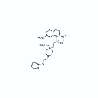 COc1ccc2ncc(N(C)C)c([C@@H](O)CCC3(CC(=O)O)CCN(CCSc4ccccn4)CC3)c2c1